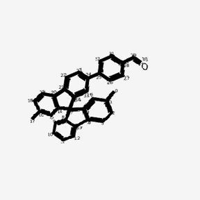 Cc1ccc2c(c1)C1(c3ccccc3-2)c2cc(C)ccc2-c2ccc(-c3ccc(C=O)cc3)cc21